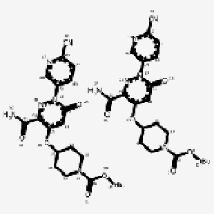 CC(C)(C)OC(=O)N1CCC(Oc2cc(=O)n(-c3ccc(C#N)nc3)nc2C(N)=O)CC1.CC(C)(C)OC(=O)N1CCC(Oc2cc(=O)n(-c3ccc(C#N)nc3)nc2C(N)=O)CC1